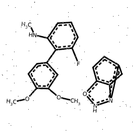 CNc1cccc(F)c1-c1ccc(OC)c(OC)c1.c1cc2cc3c1o[nH]n2-3